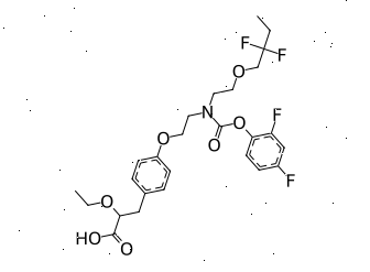 CCOC(Cc1ccc(OCCN(CCOCC(F)(F)CC)C(=O)Oc2ccc(F)cc2F)cc1)C(=O)O